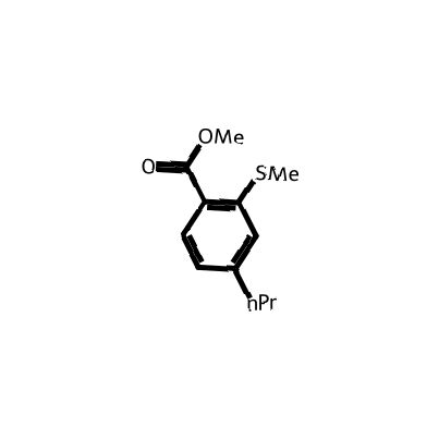 CCCc1ccc(C(=O)OC)c(SC)c1